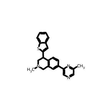 Cc1cncc(-c2ccc3c(c2)CN(C)CC3c2cc3ccccc3s2)n1